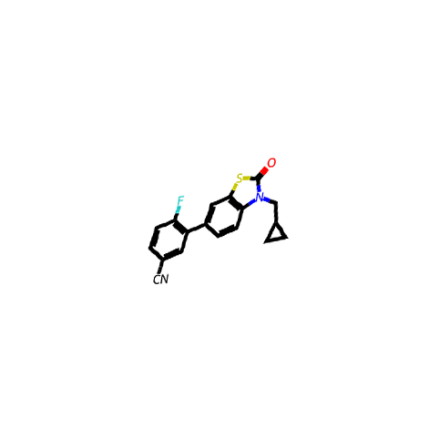 N#Cc1ccc(F)c(-c2ccc3c(c2)sc(=O)n3CC2CC2)c1